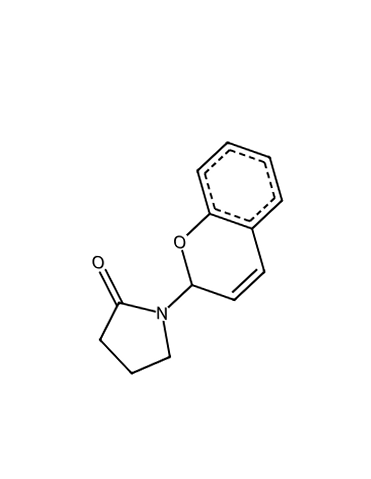 O=C1CCCN1C1C=Cc2ccccc2O1